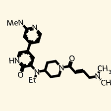 CCN(c1cc(-c2ccnc(NC)c2)c[nH]c1=O)C1CCN(C(=O)C=CCN(C)C)CC1